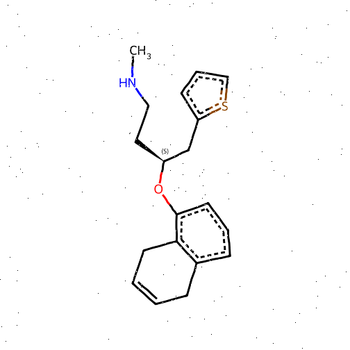 CNCC[C@@H](Cc1cccs1)Oc1cccc2c1CC=CC2